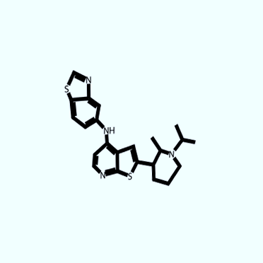 CC(C)N1CCCC(c2cc3c(Nc4ccc5scnc5c4)ccnc3s2)C1C